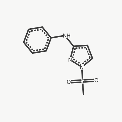 CS(=O)(=O)n1ccc(Nc2ccccc2)n1